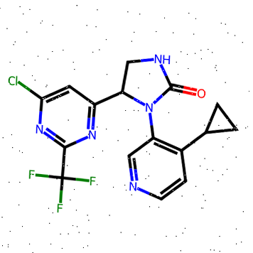 O=C1NCC(c2cc(Cl)nc(C(F)(F)F)n2)N1c1cnccc1C1CC1